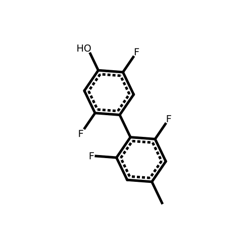 Cc1cc(F)c(-c2cc(F)c(O)cc2F)c(F)c1